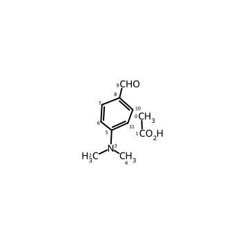 CC(=O)O.CN(C)c1ccc(C=O)cc1